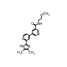 COCCNC(=O)c1cncc(-c2ccnc(-c3nc(C)c(C)[nH]3)c2)c1